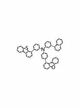 c1cc(-c2cccc3ccccc23)cc(N(c2ccc(-c3cccc4oc5ccccc5c34)cc2)c2cccc(-c3cccc4c3sc3ccccc34)c2)c1